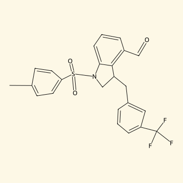 Cc1ccc(S(=O)(=O)N2CC(Cc3cccc(C(F)(F)F)c3)c3c(C=O)cccc32)cc1